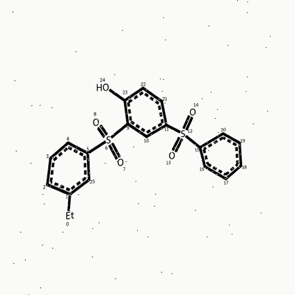 CCc1cccc(S(=O)(=O)c2cc(S(=O)(=O)c3ccccc3)ccc2O)c1